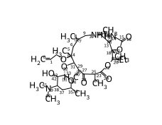 C=CCO[C@]1(C)C[C@@H](C)CN[C@H](C)[C@H]2NC(=O)O[C@]2(C)[C@@H](CC)OC(=O)C(C)C(=O)[C@H](C)C1O[C@@H]1OC(C)CC(N(C)C)C1O